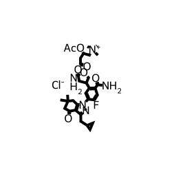 CC(=O)OC(CC(=O)OC1(N)CC(c2cc(-n3nc(CC4CC4)c4c3CC(C)(C)CC4=O)c(F)cc2C(N)=O)CO1)C[N+](C)(C)C.[Cl-]